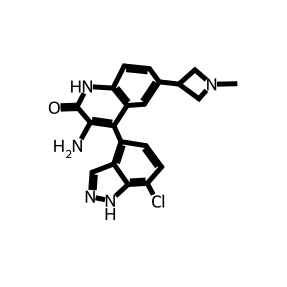 CN1CC(c2ccc3[nH]c(=O)c(N)c(-c4ccc(Cl)c5[nH]ncc45)c3c2)C1